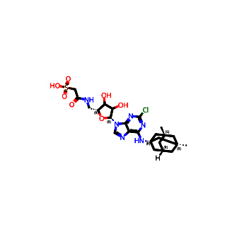 C[C@]12C[C@@H]3C[C@](C)(C1)C[C@@](Nc1nc(Cl)nc4c1ncn4[C@@H]1O[C@H](CNC(=O)CS(=O)(=O)O)C(O)C1O)(C3)C2